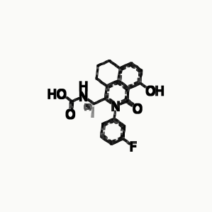 C[C@H](NC(=O)O)c1c2c3c(ccc(O)c3c(=O)n1-c1cccc(F)c1)CCC2